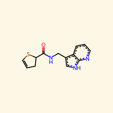 O=C(NCc1c[nH]c2ncccc12)C1CC=CS1